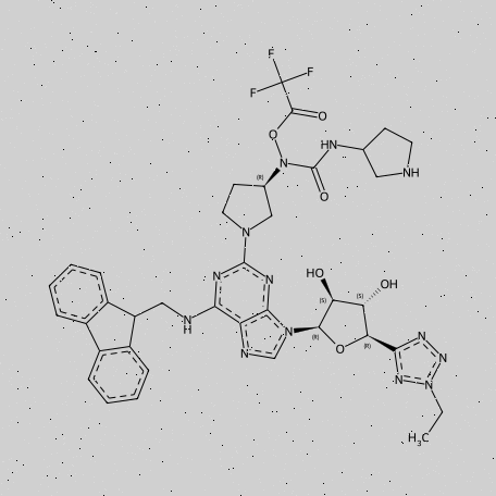 CCn1nnc([C@H]2O[C@@H](n3cnc4c(NCC5c6ccccc6-c6ccccc65)nc(N5CC[C@@H](N(OC(=O)C(F)(F)F)C(=O)NC6CCNC6)C5)nc43)[C@@H](O)[C@@H]2O)n1